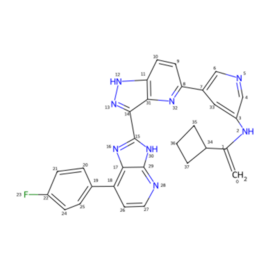 C=C(Nc1cncc(-c2ccc3[nH]nc(-c4nc5c(-c6ccc(F)cc6)ccnc5[nH]4)c3n2)c1)C1CCC1